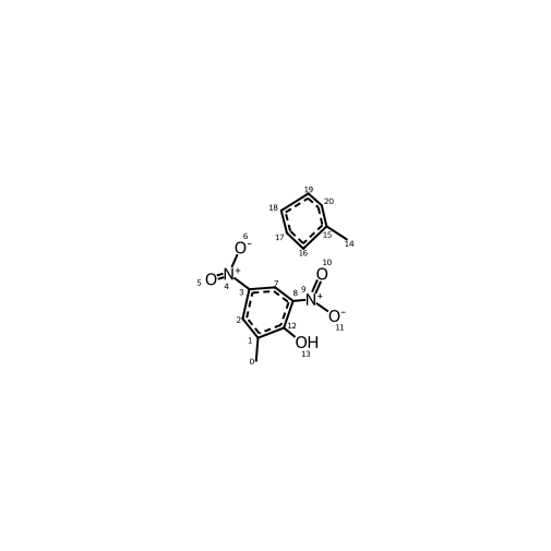 Cc1cc([N+](=O)[O-])cc([N+](=O)[O-])c1O.Cc1ccccc1